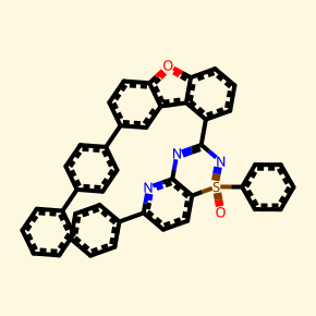 O=S1(c2ccccc2)=NC(c2cccc3oc4ccc(-c5ccc(-c6ccccc6)cc5)cc4c23)=Nc2nc(-c3ccccc3)ccc21